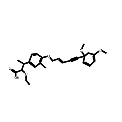 CCOC(C(=O)O)C(C)c1ccc(OC/C=C/C#CC2(OC)C=CC=C(OC)C2)c(I)c1